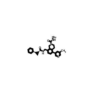 Cc1cncc(-c2ccc(CNC(=O)[C@@H]3C[C@H]3c3ccccc3)c3c2CCN(C(=O)NC(C)(C)C)C3)c1